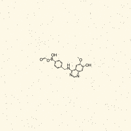 COc1cc2c(NCc3ccc(B(O)OC=O)cc3)ncnc2cc1O